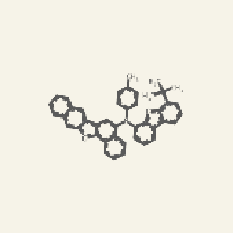 Cc1ccc(N(c2cc3c4cc5ccccc5cc4oc3c3ccccc23)c2cccc3c2oc2c(C(C)(C)C)cccc23)cc1